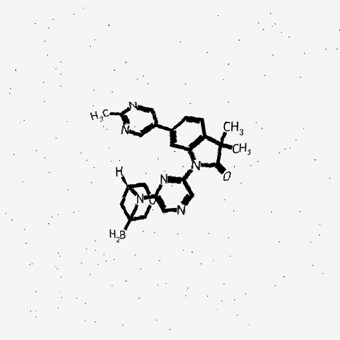 BC12COC[C@@H](C1)N2c1cncc(N2C(=O)C(C)(C)c3ccc(-c4cnc(C)nc4)cc32)n1